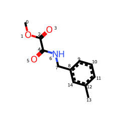 COC(=O)C(=O)NCc1cccc(C)c1